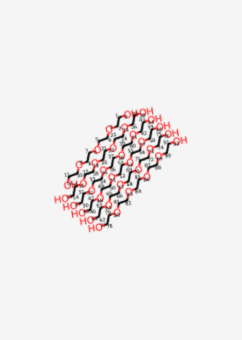 OCCOCCOCCOCCO.OCCOCCOCCOCCOCCO.OCCOCCOCCOCCOCCO.OCCOCCOCCOCCOCCO.OCCOCCOCCOCCOCCO.OCCOCCOCCOCCOCCO